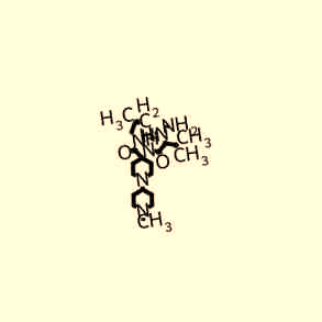 C=C(C)CNC(=O)C1(NC(=O)C(NN)C(C)C)CCN(C2CCN(C)CC2)CC1